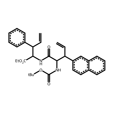 C=CC(c1ccc2ccccc2c1)C(NC(=O)OC(C)(C)C)C(=O)NC(C(=O)OCC)C(C=C)c1ccccc1